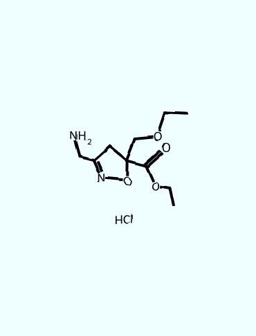 CCOCC1(C(=O)OCC)CC(CN)=NO1.Cl